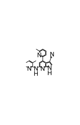 C/C=C(C)\C(=N/C)Nc1cc(-c2cccc(C)n2)c2c(C#N)c[nH]c2n1